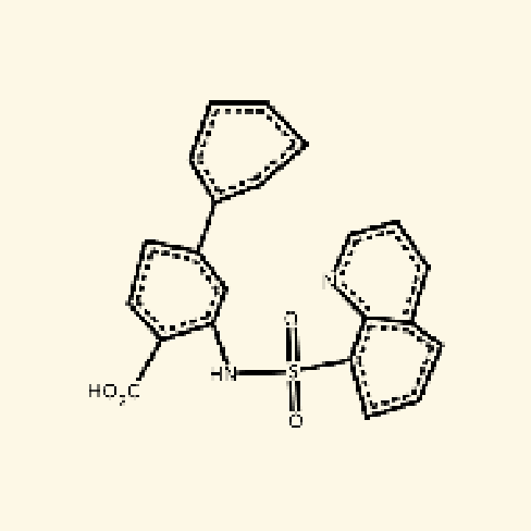 O=C(O)c1ccc(-c2ccccc2)cc1NS(=O)(=O)c1cccc2cccnc12